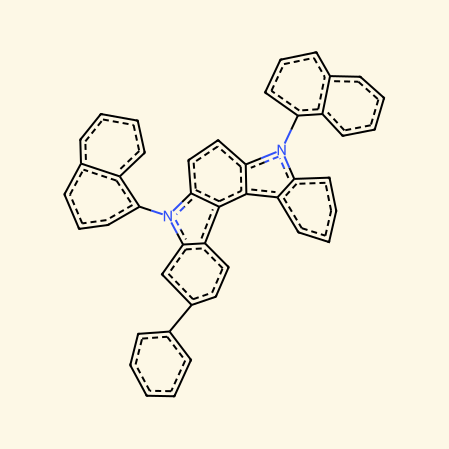 c1ccc(-c2ccc3c4c5c6ccccc6n(-c6cccc7ccccc67)c5ccc4n(-c4cccc5ccccc45)c3c2)cc1